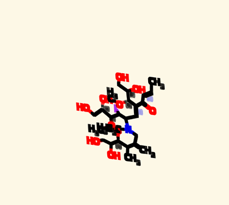 C=C(CN(C)C(/C=C(/C(=O)/C=C/C)[C@H](OC)[C@H](O)CO)C(I)[C@@H](OC)[C@@H](O)CO)C(C)[C@H](OC)C(O)CO